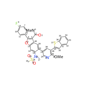 CNC(=O)c1c(-c2ccc(F)cc2)oc2cc(N(C)S(C)(=O)=O)c(-c3cnc(OC)c(-c4cc5ccccc5s4)c3)cc12